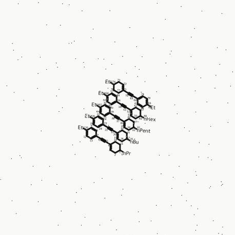 CCCC1CC=C(C#Cc2ccc(CC)cc2)CC1.CCCCC1CC=C(C#Cc2ccc(CC)cc2)CC1.CCCCCC1CC=C(C#Cc2ccc(CC)cc2)CC1.CCCCCCC1CC=C(C#Cc2ccc(CC)cc2)CC1.CCc1ccc(C#CC2=CCC(CC)CC2)cc1